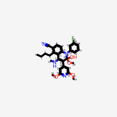 CCCCc1c(C#N)ccc2c1C(NC)=C(c1cc(OC)nc(OC)c1)C(O)(OC)N2c1cccc(F)c1